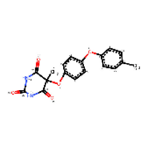 CC1(Oc2ccc(Oc3ccc(C(F)(F)F)cc3)cc2)C(=O)NC(=O)NC1=O